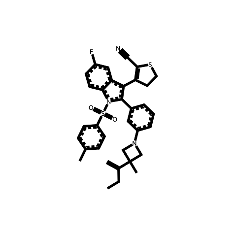 C=C(CC)C1(C)CN(c2cccc(-c3c(C4=C(C#N)SCC4)c4cc(F)ccc4n3S(=O)(=O)c3ccc(C)cc3)c2)C1